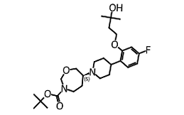 CC(C)(O)CCOc1cc(F)ccc1C1CCN([C@H]2CCN(C(=O)OC(C)(C)C)COC2)CC1